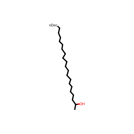 [CH2]C(O)CCCCCCCCCCCCCCCCCCCCCCCCCCCC